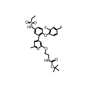 CCS(=O)(=O)Nc1ccc(Oc2ccc(F)cc2F)c(-c2cc(C)nc(OCCNC(=O)OC(C)(C)C)c2)c1